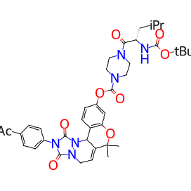 CC(=O)c1ccc(-n2c(=O)n3n(c2=O)C2C(=CC3)C(C)(C)Oc3cc(OC(=O)N4CCN(C(=O)[C@H](CC(C)C)NC(=O)OC(C)(C)C)CC4)ccc32)cc1